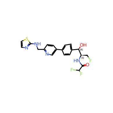 O=C(N[C@H](CF)[C@H](O)c1ccc(-c2ccc(CNc3nccs3)nc2)cc1)C(F)F